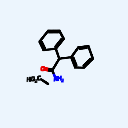 CC(=O)O.NC(=O)C(c1ccccc1)c1ccccc1